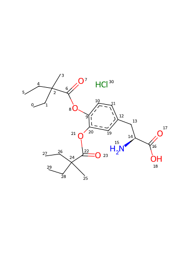 CCC(C)(CC)C(=O)Oc1ccc(C[C@H](N)C(=O)O)cc1OC(=O)C(C)(CC)CC.Cl